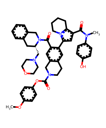 COc1ccc(OC(=O)N2CCc3cc(-c4cc(C(=O)N(C)c5ccc(O)cc5)c5n4CCCC5)c(C(=O)N4Cc5ccccc5C[C@H]4CN4CCOCC4)cc3C2)cc1